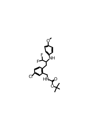 COc1ccc(NC(Cc2ccc(Cl)cc2CNC(=O)OC(C)(C)C)C(F)F)cc1